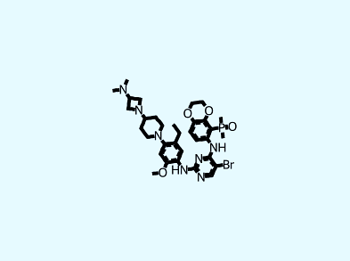 CCc1cc(Nc2ncc(Br)c(Nc3ccc4c(c3P(C)(C)=O)OCCO4)n2)c(OC)cc1N1CCC(N2CC(N(C)C)C2)CC1